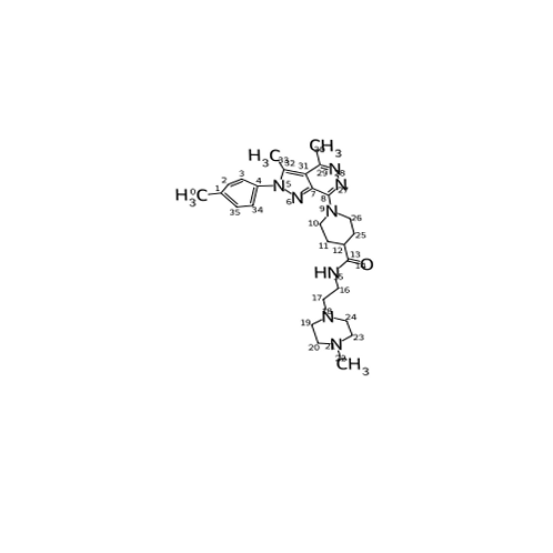 Cc1ccc(-n2nc3c(N4CCC(C(=O)NCCN5CCN(C)CC5)CC4)nnc(C)c3c2C)cc1